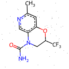 Cc1cc2c(cn1)N(C(N)=O)CC(C(F)(F)F)O2